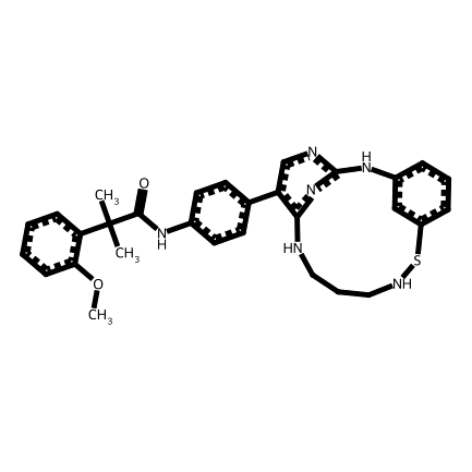 COc1ccccc1C(C)(C)C(=O)Nc1ccc(-c2cnc3nc2NCCCNSc2cccc(c2)N3)cc1